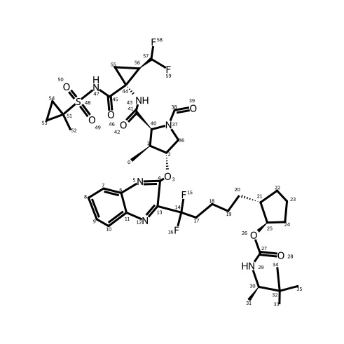 C[C@@H]1[C@@H](Oc2nc3ccccc3nc2C(F)(F)CCCC[C@@H]2CCC[C@H]2OC(=O)N[C@H](C)C(C)(C)C)CN(C=O)[C@@H]1C(=O)N[C@]1(C(=O)NS(=O)(=O)C2(C)CC2)C[C@H]1C(F)F